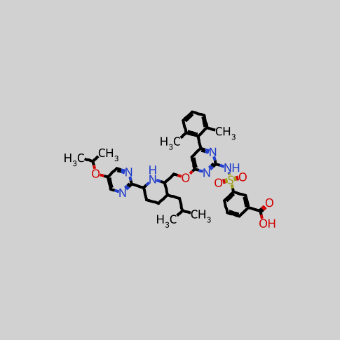 Cc1cccc(C)c1-c1cc(OCC2NC(c3ncc(OC(C)C)cn3)CCC2CC(C)C)nc(NS(=O)(=O)c2cccc(C(=O)O)c2)n1